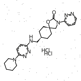 Cl.Cl.O=C1O[C@]2(CC[C@H](CNc3ccc(N4CCCCC4)nn3)CC2)CN1c1cccnn1